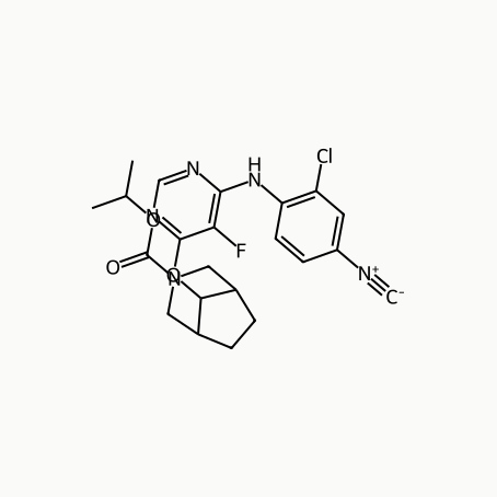 [C-]#[N+]c1ccc(Nc2ncnc(OC3C4CCC3CN(C(=O)OC(C)C)C4)c2F)c(Cl)c1